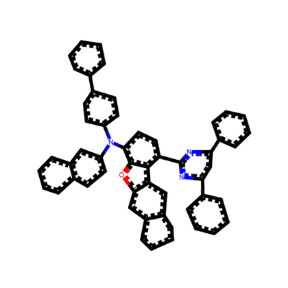 c1ccc(-c2ccc(N(c3ccc4ccccc4c3)c3ccc(-c4nc(-c5ccccc5)cc(-c5ccccc5)n4)c4c3oc3cc5ccccc5cc34)cc2)cc1